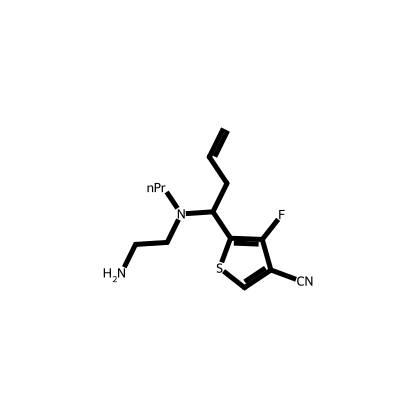 C=CCC(c1scc(C#N)c1F)N(CCC)CCN